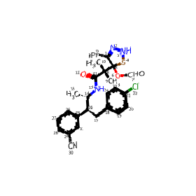 CC(C)C1=NNSC1(OC=O)C(C)(C)C(=O)N[C@@H](C)[C@@H](Cc1ccc(Cl)cc1)c1cccc(C#N)c1